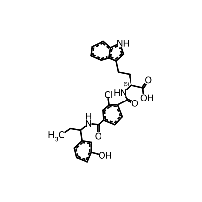 CCC(NC(=O)c1ccc(C(=O)N[C@@H](CCc2c[nH]c3ccccc23)C(=O)O)c(Cl)c1)c1cccc(O)c1